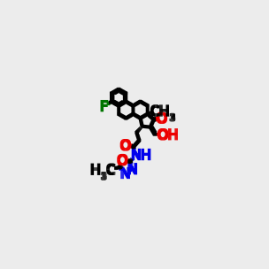 Cc1nnc(NC(=O)CC[C@@H]2/C(=C/O)C(=O)[C@@]3(C)CCC4c5cccc(F)c5CCC4C23)o1